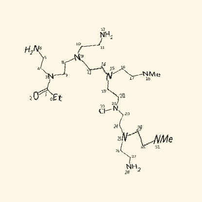 CCC(=O)N(CCN)CCN(CCN)CCN(CCNC)CCN(Cl)CCN(CCN)CCNC